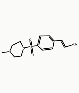 CN1CCN(S(=O)(=O)c2ccc(C=CC#N)cc2)CC1